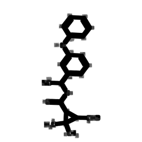 CC1(C)C(C=O)C1C(=O)OC(C#N)c1cccc(Oc2ccccc2)c1